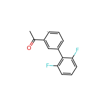 CC(=O)c1[c]ccc(-c2c(F)cccc2F)c1